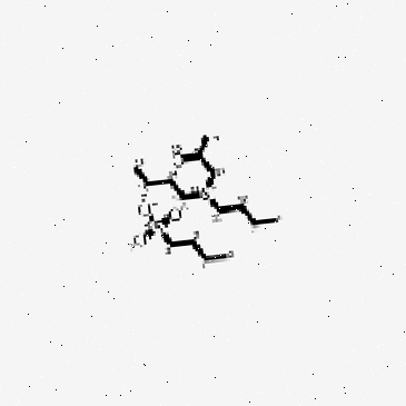 CCCCS(=O)(=O)[O-].CCCC[S+](CCCC)CC(C)=O